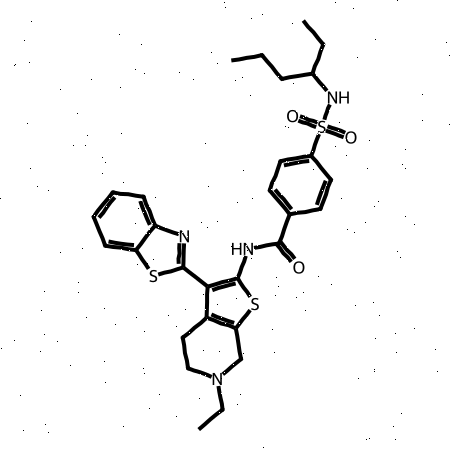 CCCC(CC)NS(=O)(=O)c1ccc(C(=O)Nc2sc3c(c2-c2nc4ccccc4s2)CCN(CC)C3)cc1